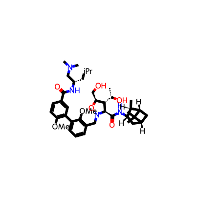 COc1ccc(C(=O)N[C@@H](CC(C)C)CN(C)C)cc1-c1cccc(CN2O[C@@H](CO)[C@H]([C@H](C)O)[C@H]2C(=O)N[C@H]2C[C@H]3C[C@@H]([C@@H]2C)C3(C)C)c1OC